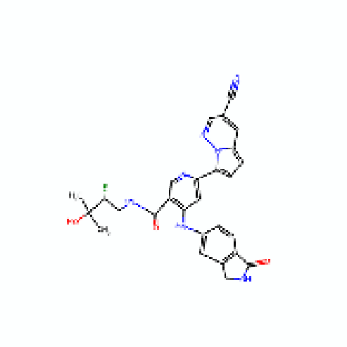 CC(C)(O)[C@H](F)CNC(=O)c1cnc(-c2ccc3cc(C#N)cnn23)cc1Nc1ccc2c(c1)CNC2=O